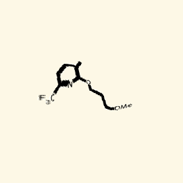 COCCCOc1nc(C(F)(F)F)ccc1C